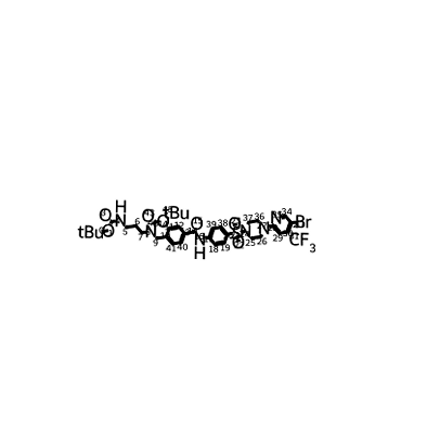 CC(C)(C)OC(=O)NCCCN(Cc1ccc(C(=O)Nc2ccc(S(=O)(=O)N3CCN(c4cc(C(F)(F)F)c(Br)cn4)CC3)cc2)cc1)C(=O)OC(C)(C)C